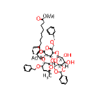 COC(=O)CCCCCCCCO[C@@H]1O[C@H](COCc2ccccc2)[C@@H](O[C@@H]2O[C@@H]3COC(c4ccccc4)O[C@@H]3[C@H](O)[C@H]2O)[C@H](O[C@@H]2O[C@@H](C)C[C@@H](OCc3ccccc3)[C@@H]2OCc2ccccc2)[C@H]1NC(C)=O